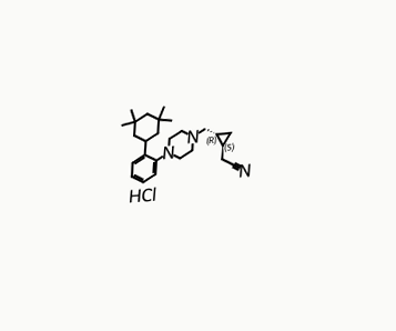 CC1(C)CC(c2ccccc2N2CCN(C[C@@H]3C[C@H]3CC#N)CC2)CC(C)(C)C1.Cl